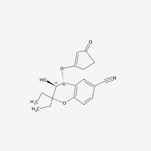 CCC1(CC)Oc2ccc(C#N)cc2[C@@H](OC2=CC(=O)CC2)[C@@H]1O